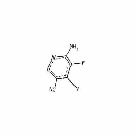 N#Cc1cnc(N)c(F)c1I